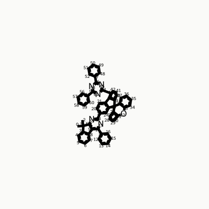 CC1(C)c2ccccc2-c2c(-c3ccccc3)nc(-c3ccc4c(c3)C3(c5ccccc5Oc5ccccc53)c3cccc(-c5nc(-c6ccccc6)nc(-c6ccccc6)n5)c3-4)nc21